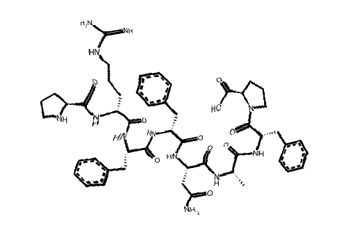 C[C@H](NC(=O)[C@H](CC(N)=O)NC(=O)[C@@H](Cc1ccccc1)NC(=O)[C@H](Cc1ccccc1)NC(=O)[C@@H](CCCNC(=N)N)NC(=O)[C@@H]1CCCN1)C(=O)N[C@@H](Cc1ccccc1)C(=O)N1CCC[C@@H]1C(=O)O